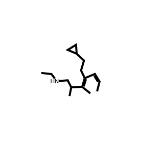 C/C=C\C(CCC1CC1)=C(/C)C(C)CNCC